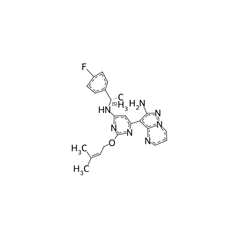 CC(C)=CCOc1nc(N[C@@H](C)c2ccc(F)cc2)cc(-c2c(N)nn3cccnc23)n1